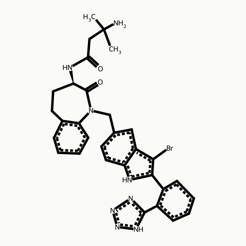 CC(C)(N)CC(=O)N[C@@H]1CCc2ccccc2N(Cc2ccc3[nH]c(-c4ccccc4-c4nnn[nH]4)c(Br)c3c2)C1=O